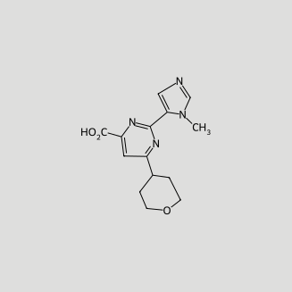 Cn1cncc1-c1nc(C(=O)O)cc(C2CCOCC2)n1